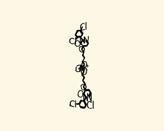 O=c1c(OCCCCO[N+](=O)OCCCCOc2ccnn(-c3cc(Cl)ccc3Cl)c2=O)ccnn1-c1cc(Cl)ccc1Cl